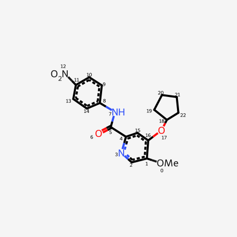 COc1cnc(C(=O)Nc2ccc([N+](=O)[O-])cc2)cc1OC1CCCC1